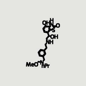 CCCN(COC)Cc1cccc(CCNCC(O)c2ccc(O)c3[nH]c(=O)sc23)c1